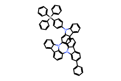 c1ccc(-c2ccc3c4ccccc4n(-c4cccc5c6ccccc6n(-c6ccc7c8ccccc8n(-c8ccc([Si](c9ccccc9)(c9ccccc9)c9ccccc9)cc8)c7c6)c45)c3c2)cc1